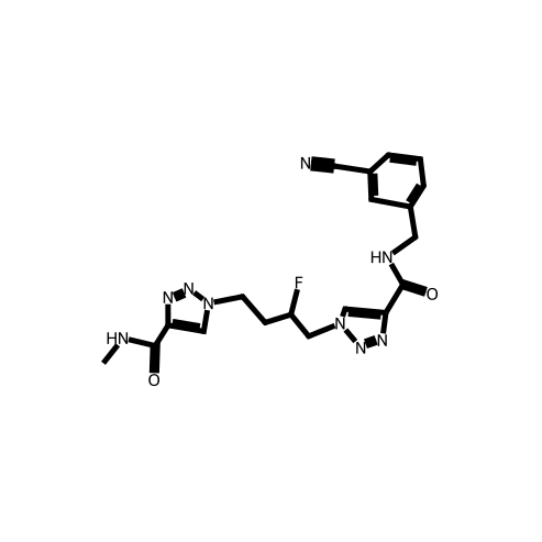 CNC(=O)c1cn(CCC(F)Cn2cc(C(=O)NCc3cccc(C#N)c3)nn2)nn1